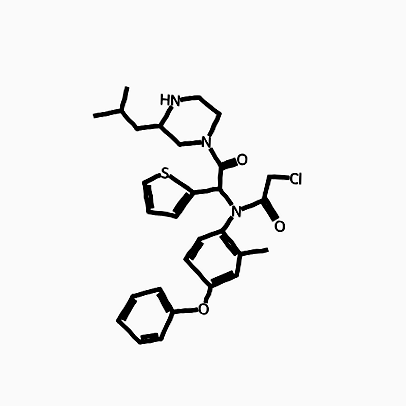 Cc1cc(Oc2ccccc2)ccc1N(C(=O)CCl)C(C(=O)N1CCNC(CC(C)C)C1)c1cccs1